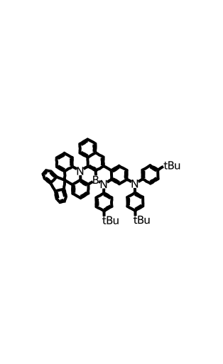 CC(C)(C)c1ccc(N2B3c4cccc5c4N(c4ccccc4C54c5ccccc5-c5ccccc54)c4c3c(cc3ccccc43)-c3ccc(N(c4ccc(C(C)(C)C)cc4)c4ccc(C(C)(C)C)cc4)cc32)cc1